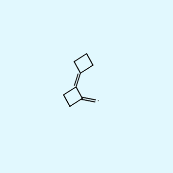 [CH]=C1CCC1=C1CCC1